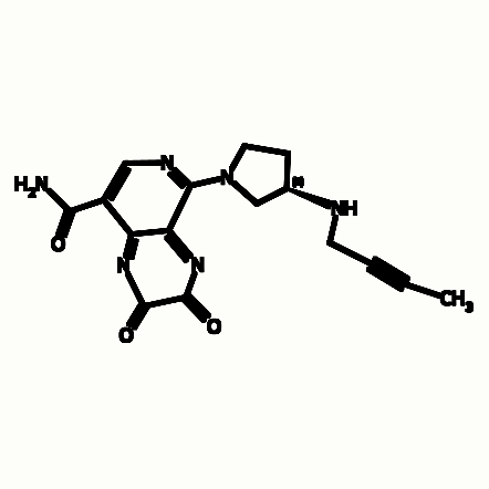 CC#CCN[C@@H]1CCN(c2ncc(C(N)=O)c3c2=NC(=O)C(=O)N=3)C1